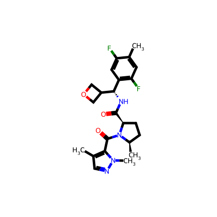 Cc1cc(F)c([C@H](NC(=O)[C@H]2CC[C@@H](C)N2C(=O)c2c(C)cnn2C)C2COC2)cc1F